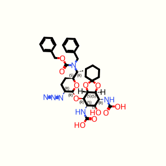 C[C@H]([C@@H]1CC[C@@H](N=[N+]=[N-])[C@@H](O[C@@H]2[C@@H](NC(=O)O)[C@H](O)[C@@H](NC(=O)O)[C@@H]3OC4(CCCCC4)O[C@@H]23)O1)N(Cc1ccccc1)C(=O)OCc1ccccc1